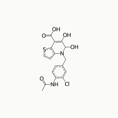 CC(=O)Nc1ccc(CN2c3ccsc3C(C(=O)O)=C(O)C2O)cc1Cl